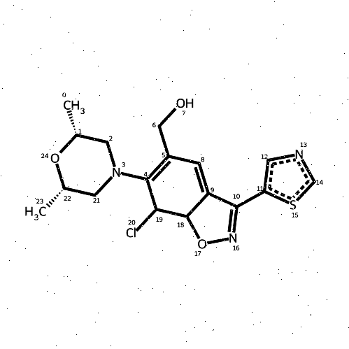 C[C@@H]1CN(C2=C(CO)C=C3C(c4cncs4)=NOC3C2Cl)C[C@H](C)O1